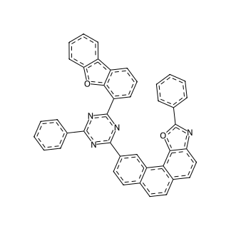 c1ccc(-c2nc(-c3ccc4ccc5ccc6nc(-c7ccccc7)oc6c5c4c3)nc(-c3cccc4c3oc3ccccc34)n2)cc1